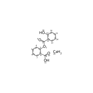 O=C(Oc1ccccc1C(=O)O)c1ccccc1O.[CaH2]